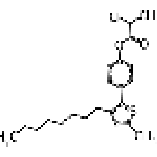 CCCCCCCCc1cc(C)sc1-c1ccc(OC(=O)C(C)Cl)cc1